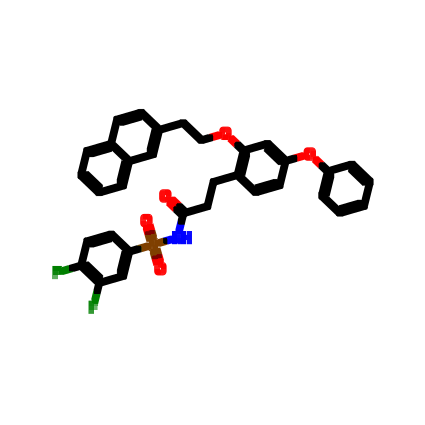 O=C(CCc1ccc(Oc2ccccc2)cc1OCCc1ccc2ccccc2c1)NS(=O)(=O)c1ccc(F)c(F)c1